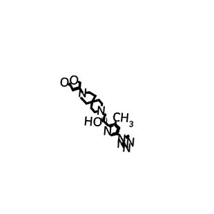 Cc1cc(-n2cnnn2)cnc1[C@H](O)CN1CCC2(CC1)CCN(C1=CC(=O)OC1)CC2